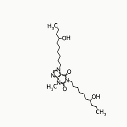 CCCC(O)CCCCCCn1c(=O)c2c(ncn2CCCCCCC(O)CCC)n(C)c1=O